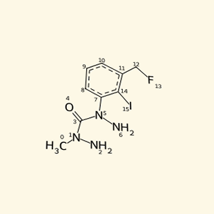 CN(N)C(=O)N(N)c1cccc(CF)c1I